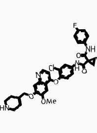 COc1cc2c(Oc3ccc(NC(=O)C4(C(=O)Nc5ccc(F)cc5)CC4)cc3Cl)ccnc2cc1OCC1CCNCC1